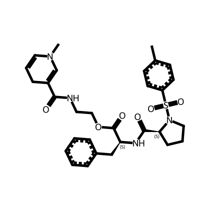 Cc1ccc(S(=O)(=O)N2CCC[C@H]2C(=O)N[C@@H](Cc2ccccc2)C(=O)OCCNC(=O)C2=CN(C)C=CC2)cc1